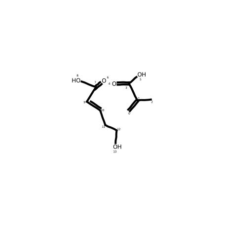 C=C(C)C(=O)O.O=C(O)C=CCCO